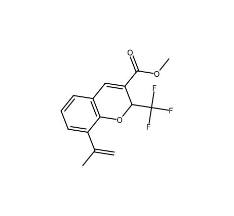 C=C(C)c1cccc2c1OC(C(F)(F)F)C(C(=O)OC)=C2